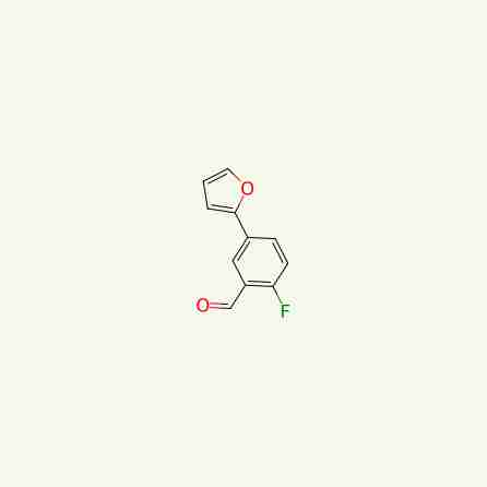 O=Cc1cc(-c2ccco2)ccc1F